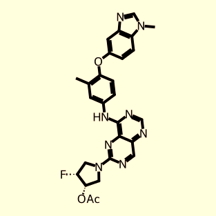 CC(=O)O[C@H]1CN(c2ncc3ncnc(Nc4ccc(Oc5ccc6c(c5)ncn6C)c(C)c4)c3n2)C[C@H]1F